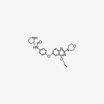 C=CCOc1nc(N2CCOCC2)nc2ccc(Oc3ccc(NC(=O)[C@@H]4CCCN4)cc3)cc12